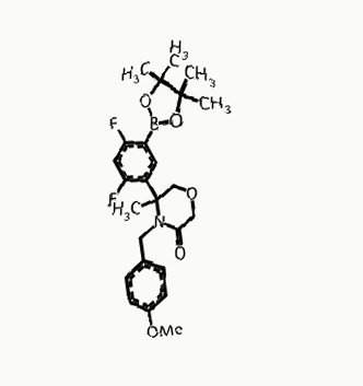 COc1ccc(CN2C(=O)COCC2(C)c2cc(B3OC(C)(C)C(C)(C)O3)c(F)cc2F)cc1